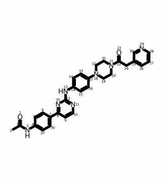 CC(=O)Nc1ccc(-c2ccnc(Nc3ccc(N4CCN(C(=O)Cc5cccnc5)CC4)cc3)n2)cc1